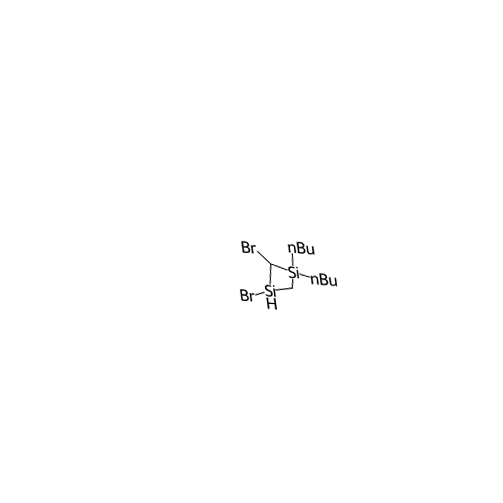 CCCC[Si]1(CCCC)C[SiH](Br)C1Br